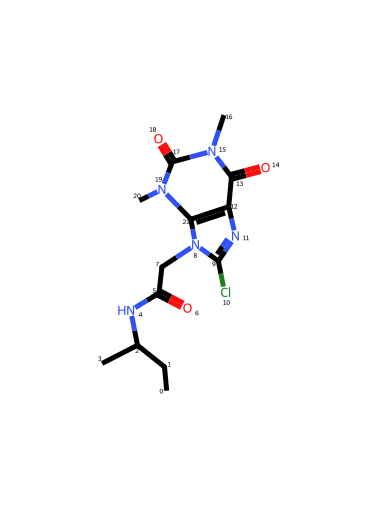 CCC(C)NC(=O)Cn1c(Cl)nc2c(=O)n(C)c(=O)n(C)c21